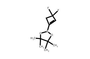 CC1(C)OB(C2=CC(F)(F)C2)OC1(C)C